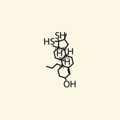 CCC[C@]12CCC(O)C=C1CC[C@@H]1[C@H]2CC[C@@]2(C)[C@H]1CC(C)C2(S)S